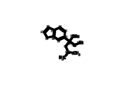 CCOC(CN(C)C)(OC(C)=O)c1ccc2c(c1)CC=C2